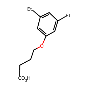 CCc1cc(CC)cc(OCCCC(=O)O)c1